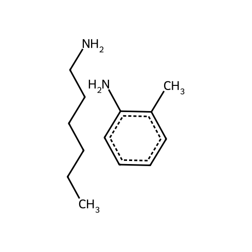 CCCCCCN.Cc1ccccc1N